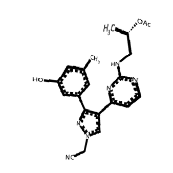 CC(=O)O[C@@H](C)CNc1nccc(-c2cn(CC#N)nc2-c2cc(C)cc(O)c2)n1